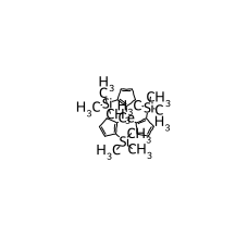 C[Si](C)(C)C1=[C]([Ce]([C]2=C([Si](C)(C)C)C=CC2)[C]2=C([Si](C)(C)C)C=CC2)CC=C1